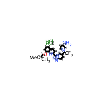 CO[C@@H](C)COc1cccc2ccc(-c3nnc4ccc([C@@H](N5CC[C@H](N)C5)C(F)(F)F)cn34)nc12.Cl.Cl